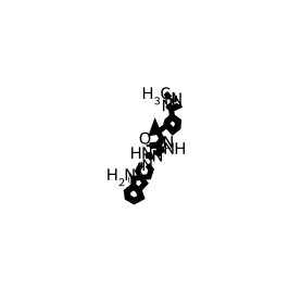 Cn1ncc(-c2cccc(C3(c4n[nH]c5nc(N6CCC7(CC6)Cc6ccccc6[C@H]7N)[nH]c(=O)c45)CC3)c2)n1